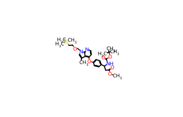 COC(=O)CC(NC(=O)OC(C)(C)C)c1ccc(Oc2ccnc3c2c(C)cn3COCCS(C)(C)C)cc1